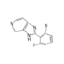 Fc1cccc(F)c1-c1nc2ccncc2[nH]1